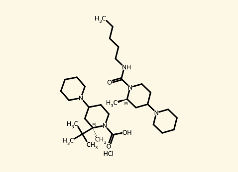 CC(C)(C)[C@@]1(C)CC(N2CCCCC2)CCN1C(=O)O.CCCCCNC(=O)N1CCC(N2CCCCC2)C[C@H]1C.Cl